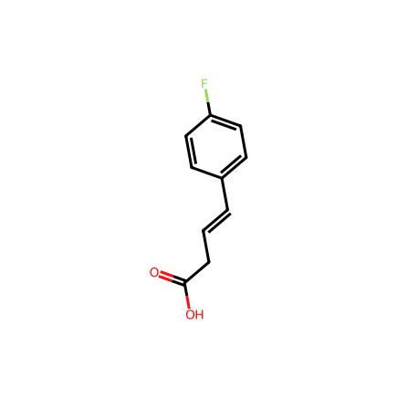 O=C(O)C/C=C/c1ccc(F)cc1